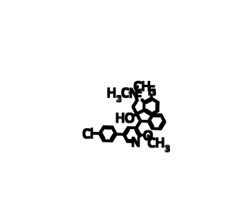 COc1ncc(-c2ccc(Cl)cc2)cc1C(c1ccccc1)C(O)(CCN(C)C)c1cccc(F)c1F